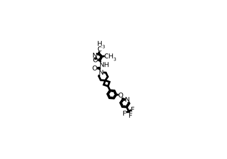 Cc1noc(NC(=O)N2CCC3(CC2)CC(c2cccc(Oc4ccc(C(F)(F)F)cn4)c2)C3)c1C